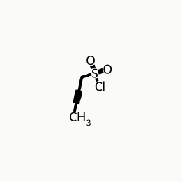 CC#CCS(=O)(=O)Cl